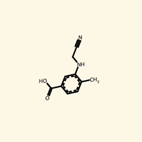 Cc1ccc(C(=O)O)cc1NCC#N